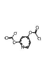 O=C(Cl)Oc1ccnc(OC(=O)Cl)c1